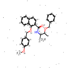 CC(OCc1ccccc1)C(NC(=O)c1ccc2ccccc2c1OCc1ccc(OC(F)(F)F)cc1)C(=O)O